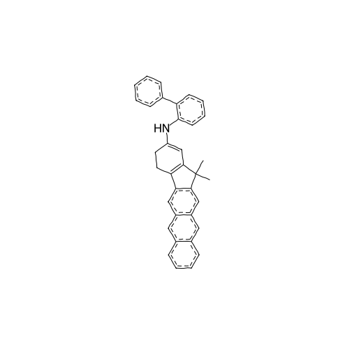 CC1(C)C2=C(CCC(Nc3ccccc3-c3ccccc3)=C2)c2cc3cc4ccccc4cc3cc21